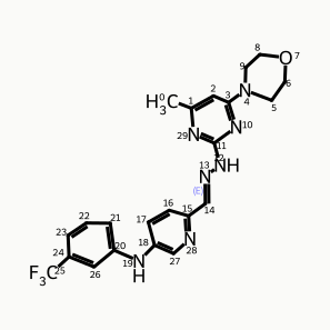 Cc1cc(N2CCOCC2)nc(N/N=C/c2ccc(Nc3cccc(C(F)(F)F)c3)cn2)n1